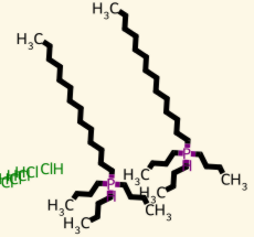 CCCCCCCCCCCCCC[PH](CCCC)(CCCC)CCCC.CCCCCCCCCCCCCC[PH](CCCC)(CCCC)CCCC.Cl.Cl.Cl.Cl.Cl